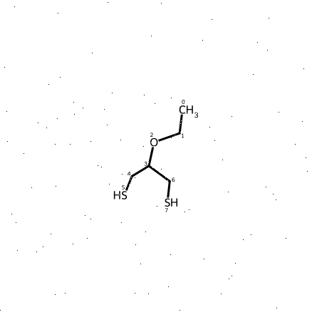 CCOC(CS)CS